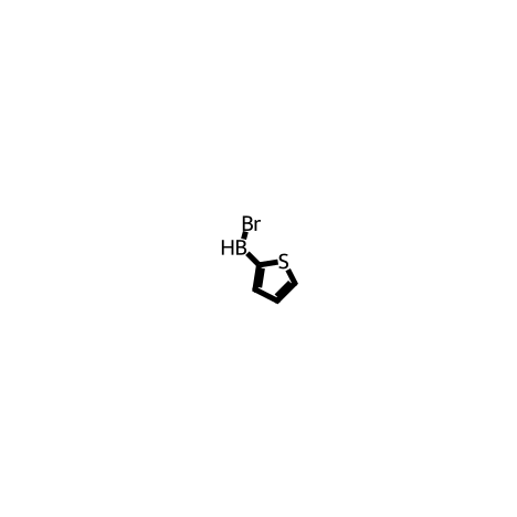 BrBc1cccs1